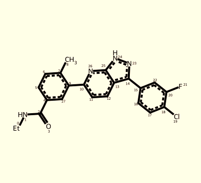 CCNC(=O)c1ccc(C)c(-c2ccc3c(-c4ccc(Cl)c(F)c4)n[nH]c3n2)c1